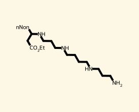 CCCCCCCCCC(CC(=O)OCC)NCCCNCCCCNCCCN